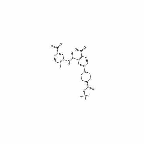 Cc1ccc([N+](=O)[O-])cc1NC(=O)c1cc(N2CCN(C(=O)OC(C)(C)C)CC2)ccc1[N+](=O)[O-]